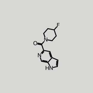 O=C(c1cc2cc[nH]c2cn1)N1CCC(F)CC1